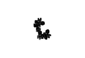 CCN(CC)C(C(=O)N1CCC[C@H]1c1nc(C(F)(F)F)c(-c2ccc(-c3ncc(-c4cnc([C@@H]5CCCN5C(=O)[C@@H](c5ccccc5)N(CC)CC)[nH]4)cn3)cc2)[nH]1)c1ccccc1